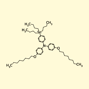 CCCCCCCCOc1ccc(N(c2ccc(OCCCCCCCC)cc2)c2cc[c]([Sn]([CH2]CCC)([CH2]CCC)[CH2]CCC)cc2)cc1